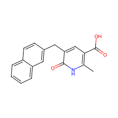 Cc1[nH]c(=O)c(Cc2ccc3ccccc3c2)cc1C(=O)O